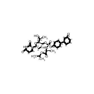 CC(C)OC(=O)[C@H](C)NP(=O)(OC[C@@H](O[C@H](CF)n1ccc(=O)[nH]c1=O)[C@H](C)O)Oc1ccc(-c2cccc(Cl)c2)cc1